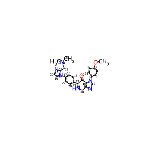 COc1ccc(-n2cnc3c2C(=O)C(c2ccc(-n4ccnc4CN(C)C)cc2)NC3)cc1